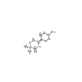 [2H]C1([2H])CO[C@@H](c2ccc(F)cn2)CN1